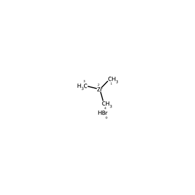 Br.[CH3][Zr]([CH3])[CH3]